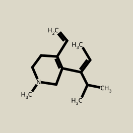 C=CC1=C(/C(=C\C)C(C)C)CN(C)CC1